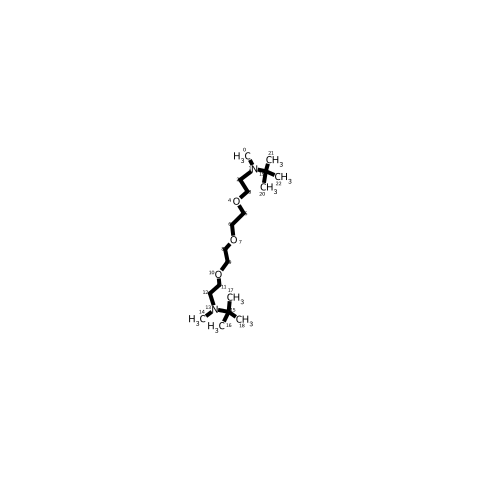 CN(CCOCCOCCOCCN(C)C(C)(C)C)C(C)(C)C